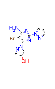 Nc1nc(-n2cccn2)nc(N2CC(O)C=N2)c1Br